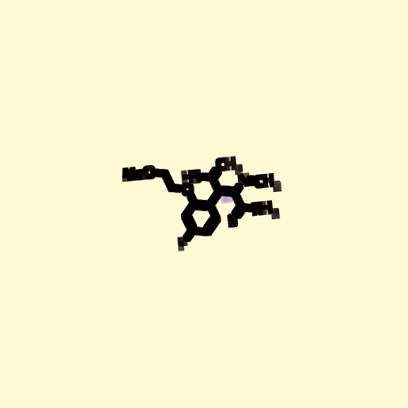 C=N/C(C(N)=S)=C(\C(=C)S)c1ccc(F)cc1OCCOC